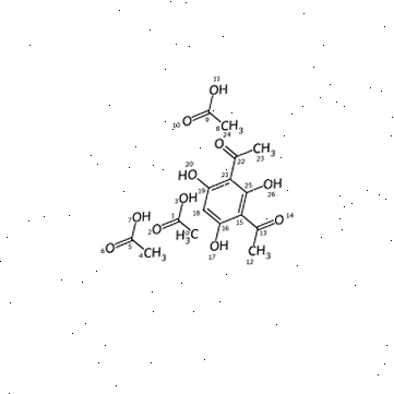 CC(=O)O.CC(=O)O.CC(=O)O.CC(=O)c1c(O)cc(O)c(C(C)=O)c1O